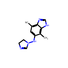 Cc1c(NN2C=NCC2)cc(C#N)c2nc[nH]c12